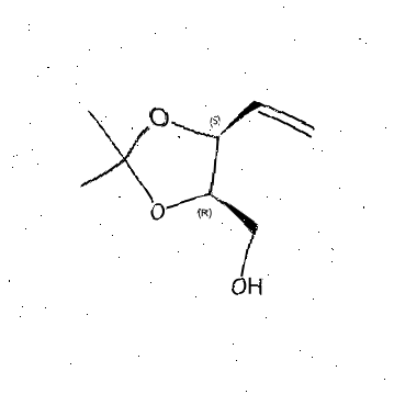 C=C[C@@H]1OC(C)(C)O[C@@H]1CO